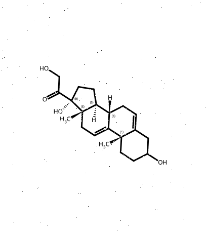 C[C@]12CCC(O)CC1=CC[C@@H]1C2=CC[C@@]2(C)[C@H]1CC[C@]2(O)C(=O)CO